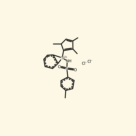 CC1=CC(C)[C]([Ti+2]2([NH]S(=O)(=O)c3ccc(C)cc3)[c]3cccc[c]32)=C1C.[Cl-].[Cl-]